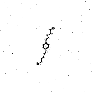 BrCCCCOc1ccc(OCCCCBr)cc1